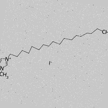 CCCCCCCCCCCCCCCCCC[n+]1ccn(C)c1.[I-]